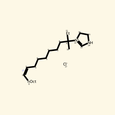 CCCCCCCC/C=C\CCCCCCC(C)(CC)[N+]1=CNCC1.[Cl-]